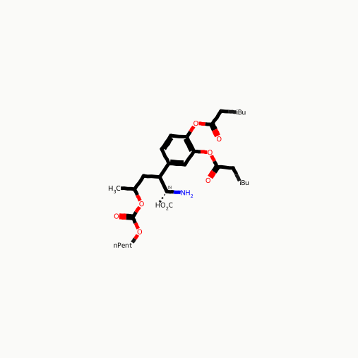 CCCCCOC(=O)OC(C)CC(c1ccc(OC(=O)CC(C)CC)c(OC(=O)CC(C)CC)c1)[C@H](N)C(=O)O